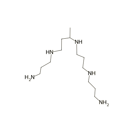 CC(CCNCCCN)NCCCNCCCN